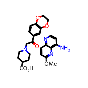 COc1ccc2nccc(N)c2n1.O=C(CN1CCC(C(=O)O)CC1)c1ccc2c(c1)OCCO2